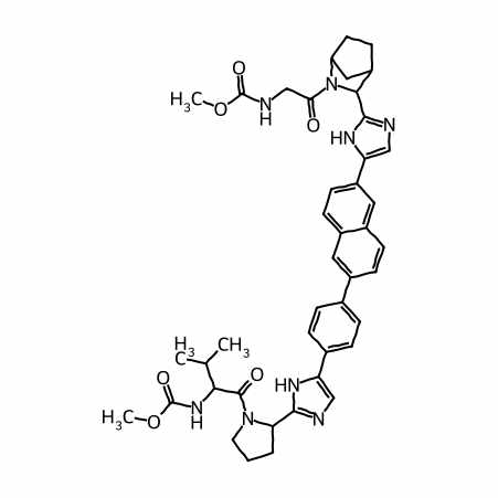 COC(=O)NCC(=O)N1C2CCC(C2)C1c1ncc(-c2ccc3cc(-c4ccc(-c5cnc(C6CCCN6C(=O)C(NC(=O)OC)C(C)C)[nH]5)cc4)ccc3c2)[nH]1